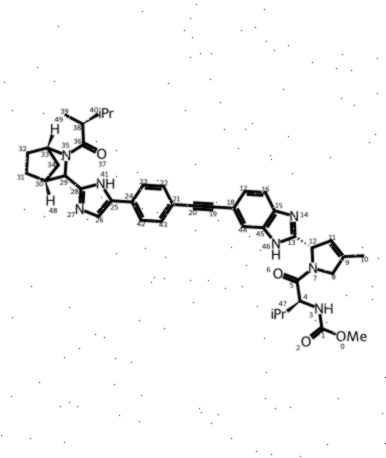 COC(=O)N[C@H](C(=O)N1CC(C)=C[C@H]1c1nc2ccc(C#Cc3ccc(-c4cnc(C5[C@@H]6CC[C@@H](C6)N5C(=O)[C@@H](C)C(C)C)[nH]4)cc3)cc2[nH]1)C(C)C